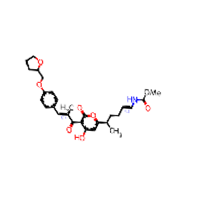 COC(=O)N/C=C/CCC(C)c1cc(O)c(C(=O)/C(C)=C/c2ccc(OCC3CCCO3)cc2)c(=O)o1